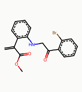 C=C(C(=O)OC)c1ccccc1NCC(=O)c1ccccc1Br